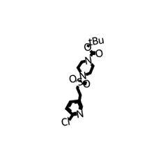 CC(C)(C)OC(=O)N1CCN(S(=O)(=O)CCc2ccc(Cl)nc2)CC1